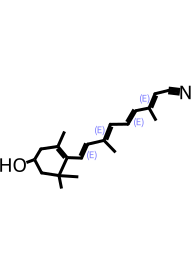 CC1=C(/C=C/C(C)=C/C=C/C(C)=C/C#N)C(C)(C)CC(O)C1